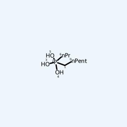 CCCCCCP(O)(O)(O)CCC